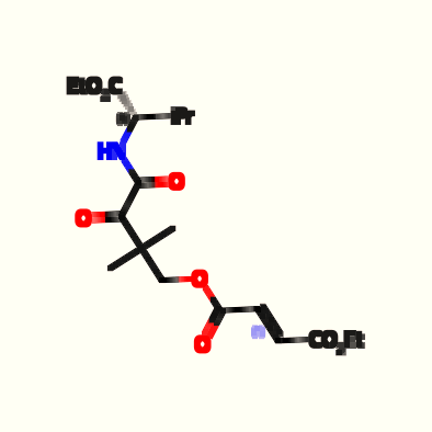 CCOC(=O)/C=C/C(=O)OCC(C)(C)C(=O)C(=O)N[C@H](C(=O)OCC)C(C)C